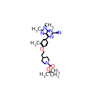 Cc1cc(-c2nc(C#N)nc3c2nc(C)n3C)ccc1OCCC1CCN(C(=O)OC(C)(C)C)CC1